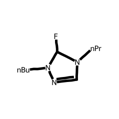 CCCCN1N=CN(CCC)C1F